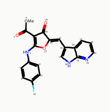 COC(=O)C1=C(Nc2ccc(F)cc2)OC(=Cc2c[nH]c3ncccc23)C1=O